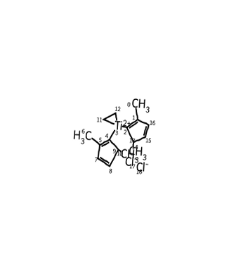 CC1=[C]([Ti+2]2([C]3=C(C)C=CC3C)[CH2][CH2]2)C(C)C=C1.[Cl-].[Cl-]